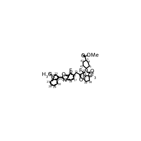 COC(=O)C1CCC(N(C(=O)C(F)(F)F)C(F)(C(=O)Cc2ccc3nc(-c4cn(C)c5ccccc45)oc3c2F)N2CCCC2)CC1